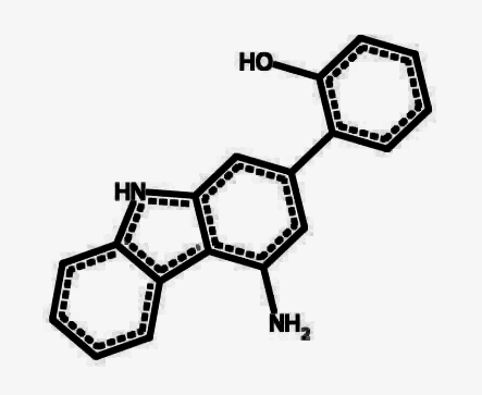 Nc1cc(-c2ccccc2O)cc2[nH]c3ccccc3c12